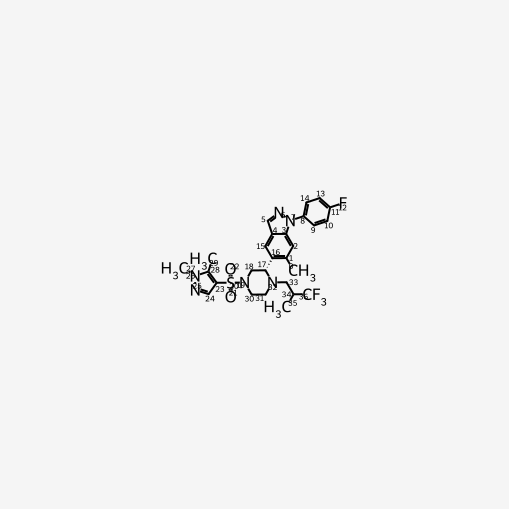 Cc1cc2c(cnn2-c2ccc(F)cc2)cc1[C@H]1CN(S(=O)(=O)c2cnn(C)c2C)CCN1CC(C)C(F)(F)F